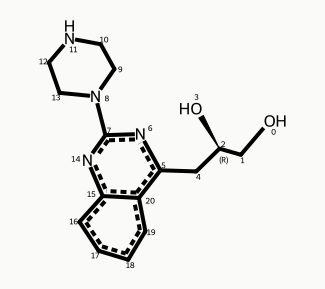 OC[C@H](O)Cc1nc(N2CCNCC2)nc2ccccc12